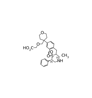 C[C@@H]1NC[C@@H](c2ccccc2)S(=O)(=O)C1Cc1ccc(C2(COCC(=O)O)CCOCC2)cc1F